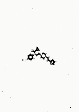 Cc1ccc(N(CCN2CCN(CCc3cccs3)CC2)C(=O)C2CC2)cc1